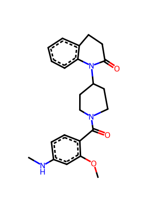 CNc1ccc(C(=O)N2CCC(N3C(=O)CCc4ccccc43)CC2)c(OC)c1